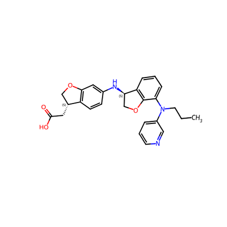 CCCN(c1cccnc1)c1cccc2c1OC[C@H]2Nc1ccc2c(c1)OC[C@H]2CC(=O)O